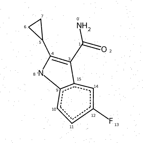 NC(=O)C1=C(C2CC2)[N]c2ccc(F)cc21